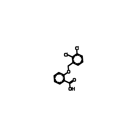 O=C(O)c1ccccc1OCc1cccc(Cl)c1Cl